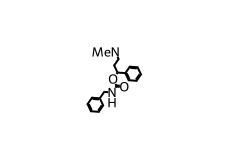 CNCCC(OC(=O)NCc1ccccc1)c1ccccc1